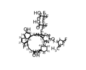 CN1C[C@H](F)C[C@H]1COc1nc2c3cnc(c(F)c3n1)-c1cc(O)cc3ccc(F)c(c13)CCCC(=O)N[C@]1(C)CCCN2C1.O=C(O)C(F)(F)F.O=C(O)C(F)(F)F